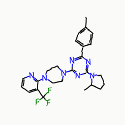 Cc1ccc(-c2nc(N3CCN(c4ncccc4C(F)(F)F)CC3)nc(N3CCCC3C)n2)cc1